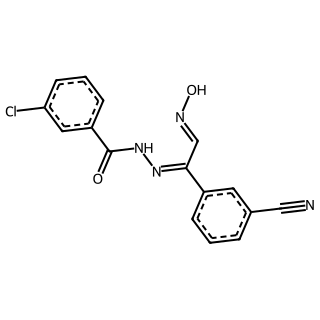 N#Cc1cccc(C(C=NO)=NNC(=O)c2cccc(Cl)c2)c1